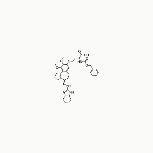 COc1c(OCCC(NC(=O)OCc2ccccc2)C(=O)O)cc2c(c1OC)C1=C(CCC1)C(=NNC1=NC3CCCCC3N1)CC2